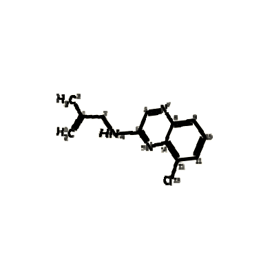 C=C(C)CNc1cnc2cccc(Cl)c2n1